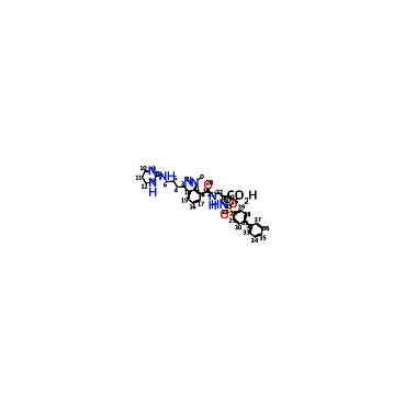 Cn1nc(CCCNC2N=CCCN2)c2cccc(C(=O)NCC(NS(=O)(=O)c3ccc(-c4ccccc4)cc3)C(=O)O)c21